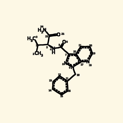 CC(C)[C@H](NC(=O)c1nn(Cc2ccccc2)c2ncccc12)C(N)=O